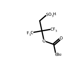 CC(C)(C)C(=O)OC(CS(=O)(=O)O)(C(F)(F)F)C(F)(F)F